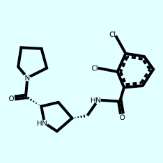 O=C(NC[C@@H]1CN[C@H](C(=O)N2CCCC2)C1)c1cccc(Cl)c1Cl